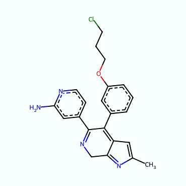 CC1=CC2=C(c3cccc(OCCCCl)c3)C(c3ccnc(N)c3)=NCC2=N1